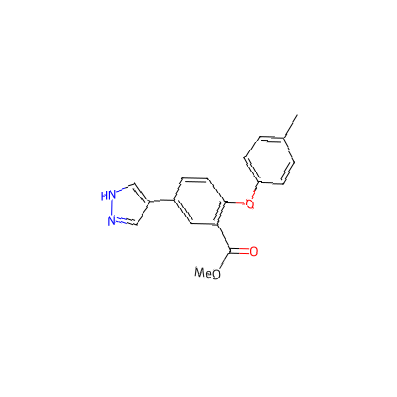 COC(=O)c1cc(-c2cn[nH]c2)ccc1Oc1ccc(C)cc1